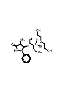 CCCCC1C(=O)NN(c2ccccc2)C1=O.CCCCOCCO.CCOCC.OCCOCCO